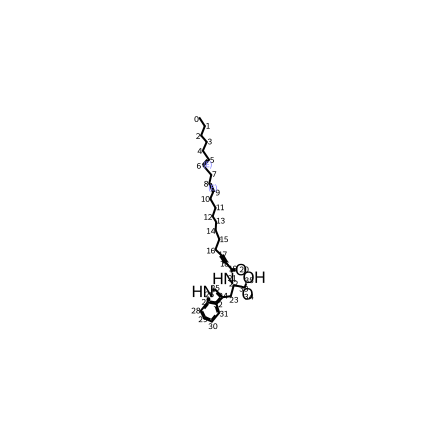 CCCCC/C=C/C/C=C/CCCCCCCC#CC(=O)NC(Cc1c[nH]c2ccccc12)C(=O)O